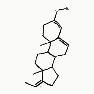 C/C=C1/CCC2C3CC=C4C=C(OCC)CCC4(C)C3CCC12C